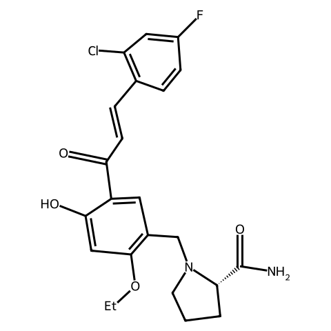 CCOc1cc(O)c(C(=O)/C=C/c2ccc(F)cc2Cl)cc1CN1CCC[C@H]1C(N)=O